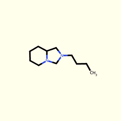 CCCCN1CC2CCCCN2C1